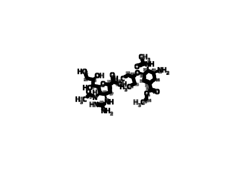 CC(=O)N[C@H]1[C@H]([C@H](O)[C@H](O)CO)OC(C(=O)O)=C[C@@H]1NC(=N)N.CCOC(=O)C1=C[C@@H](OC(CC)CC)[C@H](NC(C)=O)[C@@H](N)C1